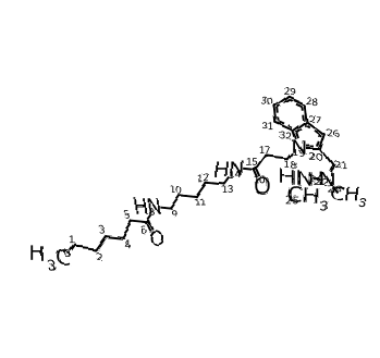 CCCCCCC(=O)NCCCCCNC(=O)CCn1c(CN(C)NC)cc2ccccc21